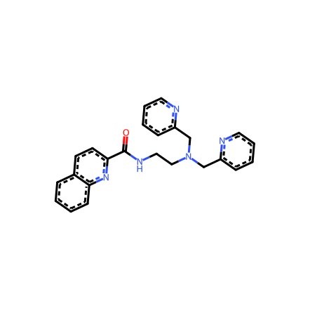 O=C(NCCN(Cc1ccccn1)Cc1ccccn1)c1ccc2ccccc2n1